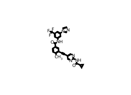 Cc1ccc(C(=O)Nc2cc(-n3ccnc3)cc(C(F)(F)F)c2)cc1C#Cc1cnc(NC(=O)C2CC2)nc1